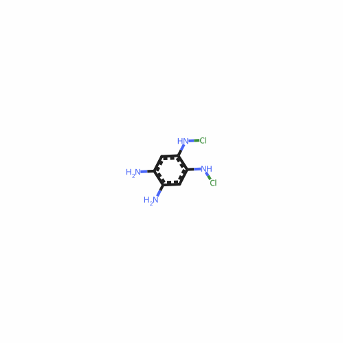 Nc1cc(NCl)c(NCl)cc1N